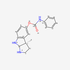 C[C@]12CCNC1Nc1ccc(OC(=O)Nc3ccccc3)cc12